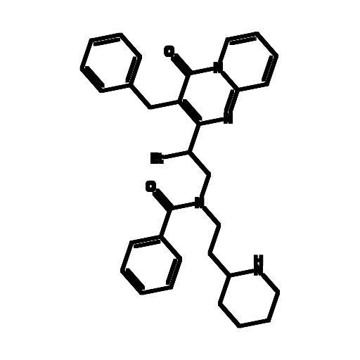 CCC(CN(CCC1CCCCN1)C(=O)c1ccccc1)c1nc2ccccn2c(=O)c1Cc1ccccc1